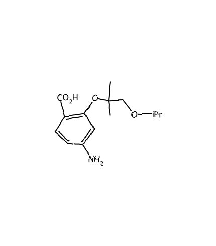 CC(C)OCC(C)(C)Oc1cc(N)ccc1C(=O)O